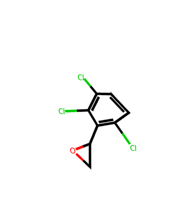 Clc1[c]cc(Cl)c(C2CO2)c1Cl